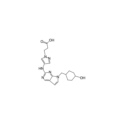 O=C(O)CCn1cc(Nc2ncc3ccn(CC4CCC(O)CC4)c3n2)cn1